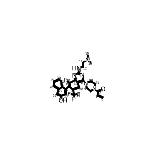 C=CC(=O)N1CCN(c2nc(NCCN(C)C)nc3c(F)c(-c4cc(O)cc5ccccc45)c(C(F)(F)F)cc23)CC1